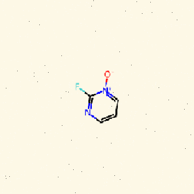 [O-][n+]1cccnc1F